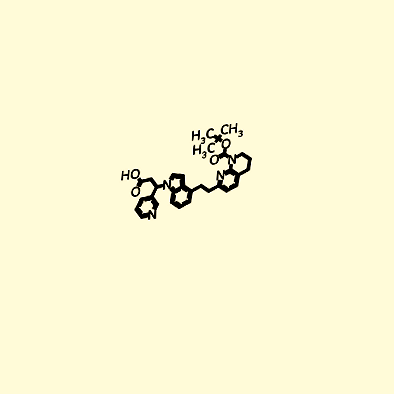 CC(C)(C)OC(=O)N1CCCc2ccc(CCc3cccc4c3ccn4C(CC(=O)O)c3cccnc3)nc21